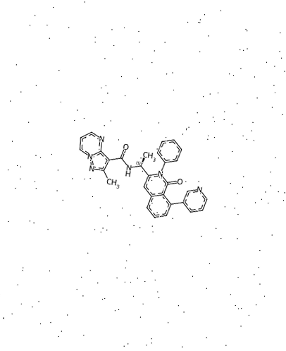 Cc1nn2cccnc2c1C(=O)N[C@@H](C)c1cc2cccc(-c3cccnc3)c2c(=O)n1-c1ccccc1